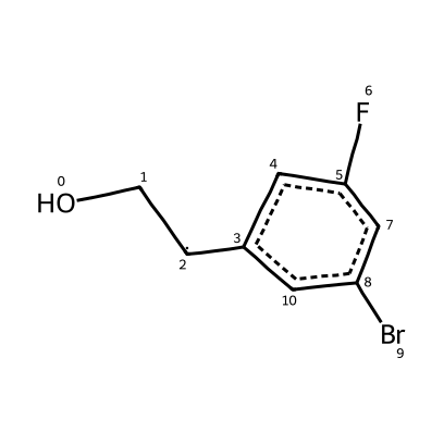 OC[CH]c1cc(F)cc(Br)c1